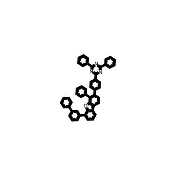 c1ccc(-c2cccc(-c3cccc4c3oc3c(-c5ccccc5)c(-c5ccc(-c6nc(-c7ccccc7)nc(-c7ccccc7)n6)cc5)ccc34)c2)cc1